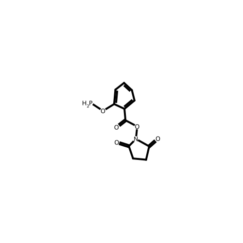 O=C(ON1C(=O)CCC1=O)c1ccccc1OP